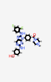 CN1CCN(C(=O)[C@H]2CC[C@@H](n3c(Nc4ccc(F)cc4F)nc4cnc(N[C@H]5CC[C@H](O)CC5)nc43)CC2)CC1